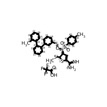 CSC1SC(C(=N)N)=CC1=[N+](OSc1cccc(-c2ccccc2-c2ccccc2C)c1)S(=O)(=O)c1ccc(C)cc1.O=C(O)C(F)(F)F